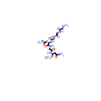 NCC(=O)NCC(=O)NCC(=O)N[C@@H](CC(N)=O)C(=O)NCC(=O)N[C@@H](CC(N)=O)C(=O)O